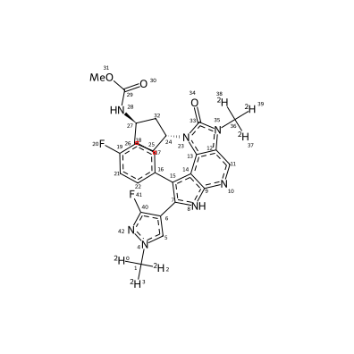 [2H]C([2H])([2H])n1cc(-c2[nH]c3ncc4c(c3c2-c2ccc(F)cc2)n([C@@H]2CC[C@@H](NC(=O)OC)C2)c(=O)n4C([2H])([2H])[2H])c(F)n1